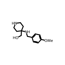 COc1ccc(CNC2(CO)CCNCC2)cc1